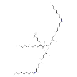 CCCCCCCC/C=C\CCCCCCCC(=O)OCC(COC(=O)CCCCCCC/C=C\CCCCCCCC)NC(=O)C(CCCNCCCN)NCCCN